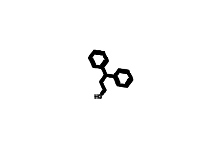 OCC[C](c1ccccc1)c1ccccc1